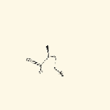 CC(=O)SC[C@H](C)C(=O)Cl